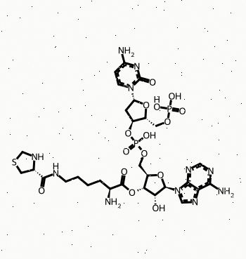 Nc1ccn([C@H]2C[C@H](OP(=O)(O)OC[C@H]3O[C@@H](n4cnc5c(N)ncnc54)[C@H](O)[C@@H]3OC(=O)[C@@H](N)CCCCNC(=O)[C@@H]3CSCN3)[C@@H](COP(=O)(O)O)O2)c(=O)n1